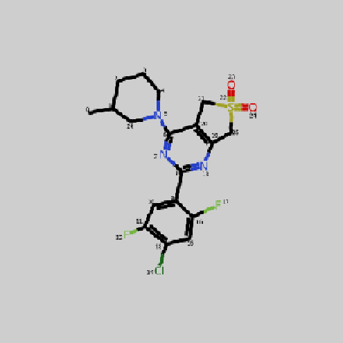 CC1CCCN(c2nc(-c3cc(F)c(Cl)cc3F)nc3c2CS(=O)(=O)C3)C1